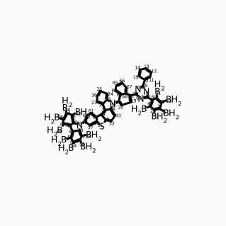 Bc1c(B)c(B)c(-c2nc(-c3ccccc3)nc(-c3ccc(-n4c5ccccc5c5c6c(ccc54)sc4cc(-n5c7c(B)c(B)c(B)c(B)c7c7c(B)c(B)c(B)c(B)c75)ccc46)c4ccccc34)n2)c(B)c1B